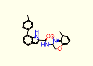 Cc1ccc(-c2cccc3cc(C(=O)NC4COC5=CC=CC(C)C5=[N+]4[O-])[nH]c23)cc1